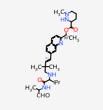 CC(C=O)NC(=O)C(NCC(C)(C)/C=C/c1ccc2ccc([C@@H](C)OC(=O)C3CCCN(C)N3)nc2c1)C(C)C